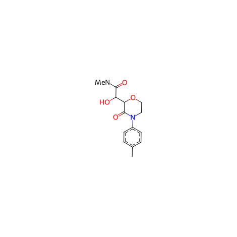 CNC(=O)C(O)C1OCCN(c2ccc(C)cc2)C1=O